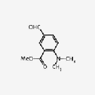 COC(=O)c1cc(C=O)ccc1N(C)C